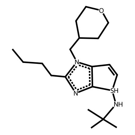 CCCCc1nc2c(n1CC1CCOCC1)C=C[SH]2NC(C)(C)C